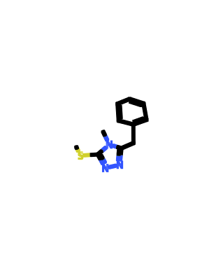 CSc1nnc(Cc2ccccc2)n1C